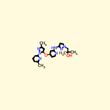 Cc1cccc(-n2nc(C)cc2Oc2ccnc(Nc3ccn(CC(C)(C)O)n3)c2)n1